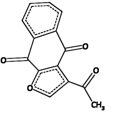 CC(=O)c1coc2c1C(=O)c1ccccc1C2=O